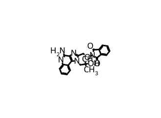 CC(C)(O)Cn1c(CON2C(=O)c3ccccc3C2=O)nc2c(N)nc3ccccc3c21